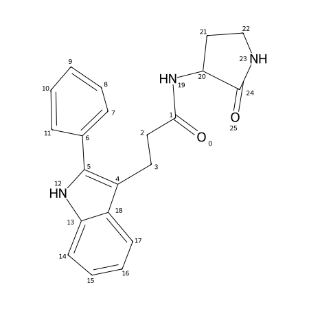 O=C(CCc1c(-c2ccccc2)[nH]c2ccccc12)NC1CCNC1=O